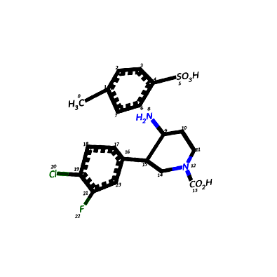 Cc1ccc(S(=O)(=O)O)cc1.NC1CCN(C(=O)O)CC1c1ccc(Cl)c(F)c1